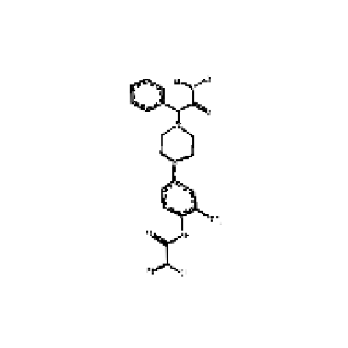 CCC(CC)C(=O)Nc1ccc(N2CCN(C(C(=O)N(CC)CC)c3ccccc3)CC2)cc1C(F)(F)F